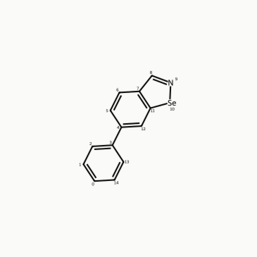 c1ccc(-c2ccc3cn[se]c3c2)cc1